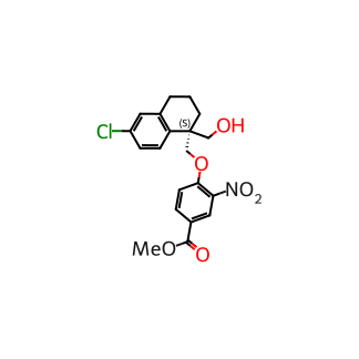 COC(=O)c1ccc(OC[C@@]2(CO)CCCc3cc(Cl)ccc32)c([N+](=O)[O-])c1